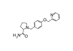 NC(=O)C1CCCN1Cc1ccc(OCc2ccccn2)cc1